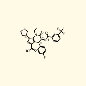 CCN1C(=O)[C@@H](NC(=O)c2cccc(C(F)(F)F)c2)[C@@H](c2ccc(F)cc2)c2c(C(=O)O)nn([C@H]3CCOC3)c21